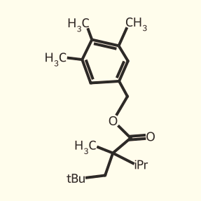 Cc1cc(COC(=O)C(C)(CC(C)(C)C)C(C)C)cc(C)c1C